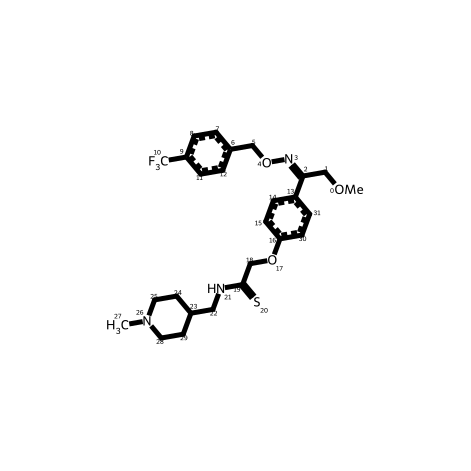 COCC(=NOCc1ccc(C(F)(F)F)cc1)c1ccc(OCC(=S)NCC2CCN(C)CC2)cc1